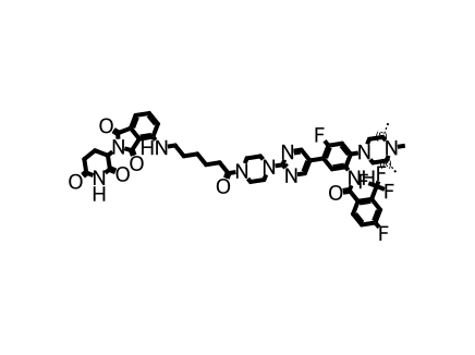 C[C@@H]1CN(c2cc(F)c(-c3cnc(N4CCN(C(=O)CCCCCNc5cccc6c5C(=O)N(C5CCC(=O)NC5=O)C6=O)CC4)nc3)cc2NC(=O)c2ccc(F)cc2C(F)(F)F)C[C@H](C)N1C